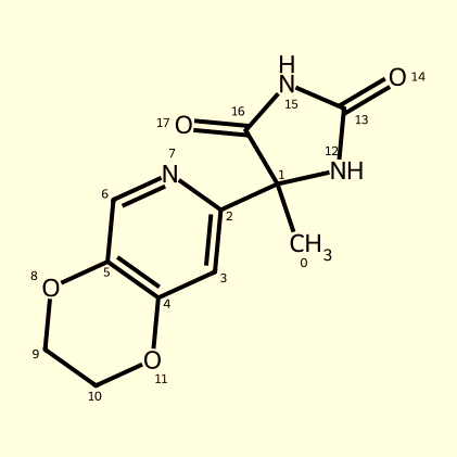 CC1(c2cc3c(cn2)OCCO3)NC(=O)NC1=O